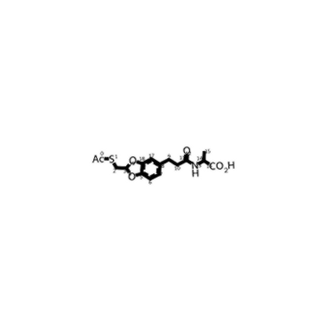 CC(=O)SCC1Oc2ccc(CCC(=O)NC(C)C(=O)O)cc2O1